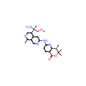 COC[C@@](C)(N)c1cnc(C)c2cnc(Nc3ccc4c(n3)[C@@H](C)C(C)(C)OC4=O)cc12